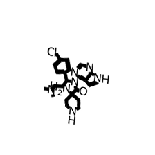 CN(C)CCC(c1ccc(Cl)cc1)N(C(=O)C1(N)CCNCC1)c1ncnc2[nH]ccc12